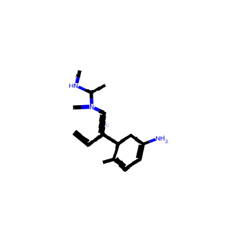 C=C/C(=C\N(C)C(C)NC)C1CC(N)=CC=C1C